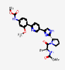 COC(=O)N[C@H](C(=O)N1CCC[C@H]1c1nc(-c2ccc(-c3ccc(NC(=O)OC(C)(C)C)cc3OC(F)(F)F)nc2)c[nH]1)C(C)C